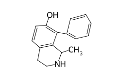 CC1NCCc2ccc(O)c(-c3ccccc3)c21